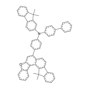 CC1(C)c2ccccc2-c2ccc(N(c3ccc(-c4ccccc4)cc3)c3ccc(-c4cc5oc6ccccc6c5c5c6c(ccc45)-c4ccccc4C6(C)C)cc3)cc21